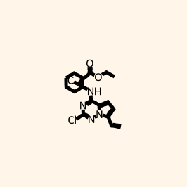 C=Cc1ccc2c(NC34CCC(CC3)CC4C(=O)OCC)nc(Cl)nn12